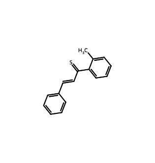 Cc1ccccc1C(=S)C=Cc1ccccc1